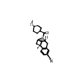 COC1CCC(C(=O)N2C3C[C@@]4(C)c5ccc(C#N)cc5C[C@@H]2[C@H]34)CC1